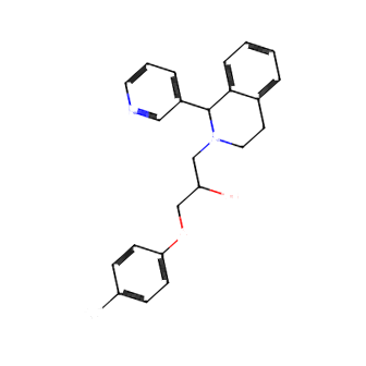 OC(COc1ccc(C(F)(F)F)cc1)CN1CCc2ccccc2C1c1cccnc1